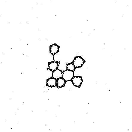 c1ccc(-c2cnc(-c3ccccc3)c(N3c4ccccc4-c4ccccc4-c4c3sc3ccccc43)n2)cc1